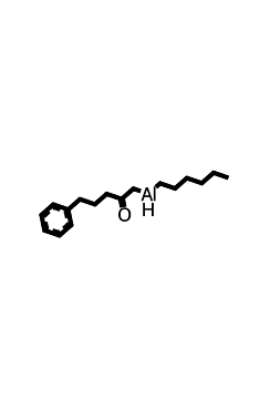 CCCCC[CH2][AlH][CH2]C(=O)CCCc1ccccc1